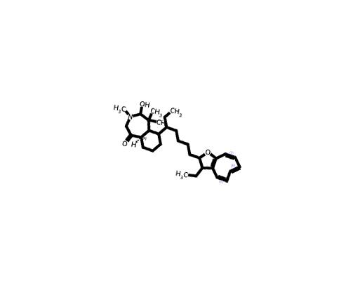 CCC(CCCCC1OC2=C(\C=C/C=C/C=C\2)C1CC)C1CCC[C@H]2C(=O)CN(C)C(O)C(C)(C)C12